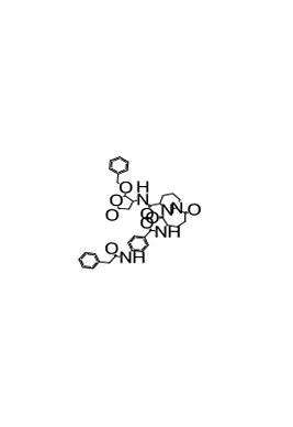 O=C(Cc1ccccc1)Nc1ccc(C(=O)NC2CCC(=O)N3CCCC(C(=O)NC4CC(=O)OC4OCc4ccccc4)N3C2=O)cc1